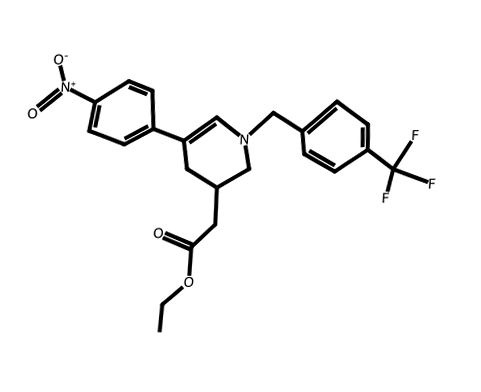 CCOC(=O)CC1CC(c2ccc([N+](=O)[O-])cc2)=CN(Cc2ccc(C(F)(F)F)cc2)C1